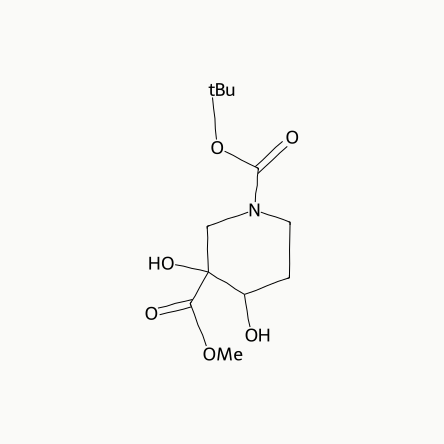 COC(=O)C1(O)CN(C(=O)OC(C)(C)C)CCC1O